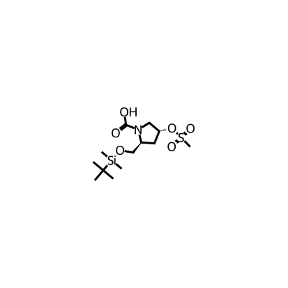 CC(C)(C)[Si](C)(C)OC[C@@H]1C[C@@H](OS(C)(=O)=O)CN1C(=O)O